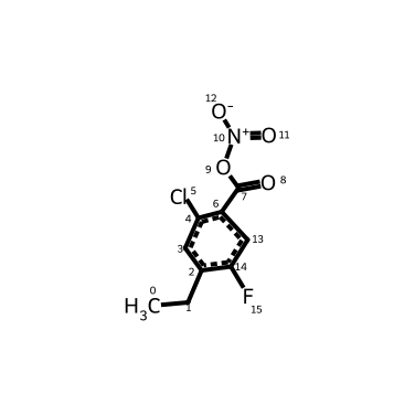 CCc1cc(Cl)c(C(=O)O[N+](=O)[O-])cc1F